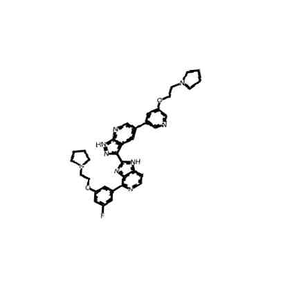 Fc1cc(OCCN2CCCC2)cc(-c2nccc3[nH]c(-c4n[nH]c5ncc(-c6cncc(OCCN7CCCC7)c6)cc45)nc23)c1